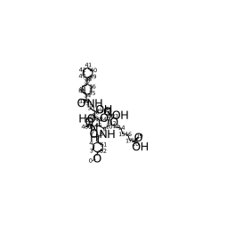 COc1ccc(C(=O)N[C@H]2C[C@](OCCCCCC(=O)O)(C(=O)O)O[C@@H]([C@H](O)[C@H](O)CNC(=O)c3ccc(-c4ccccc4)cc3)[C@@H]2NC(C)=O)cc1